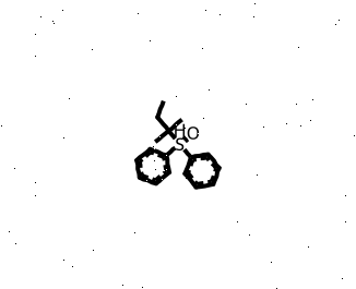 CCC(C)(C)[SH](=O)(c1ccccc1)c1ccccc1